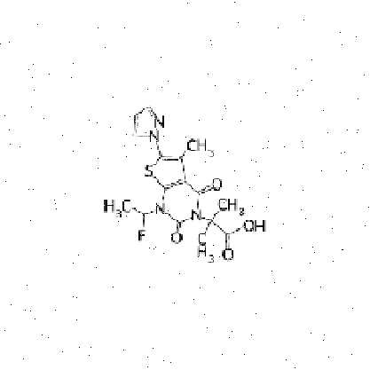 Cc1c(-n2cccn2)sc2c1c(=O)n(C(C)(C)C(=O)O)c(=O)n2C(C)F